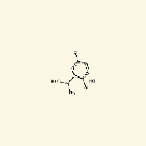 Cl.NC(C(=O)O)c1cc(Cl)ccc1O